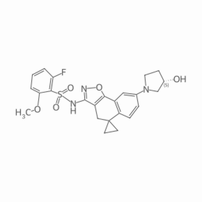 COc1cccc(F)c1S(=O)(=O)Nc1noc2c1CC1(CC1)c1ccc(N3CC[C@H](O)C3)cc1-2